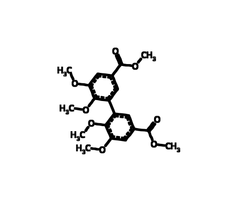 COC(=O)c1cc(OC)c(OC)c(-c2cc(C(=O)OC)cc(OC)c2OC)c1